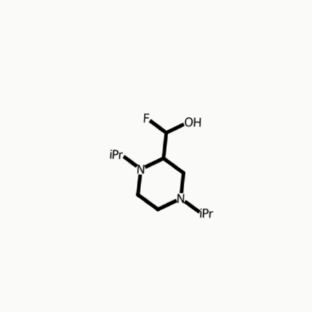 CC(C)N1CCN(C(C)C)C(C(O)F)C1